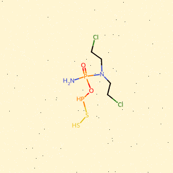 NP(=O)(OPSS)N(CCCl)CCCl